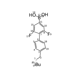 CC[C@@H](C)CCc1ccc(-c2c(F)cc(B(O)O)cc2F)cc1